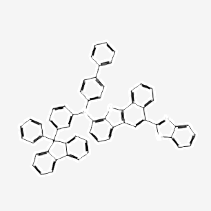 c1ccc(-c2ccc(N(c3cccc(C4(c5ccccc5)c5ccccc5-c5ccccc54)c3)c3cccc4c3oc3c5ccccc5c(-c5nc6ccccc6o5)cc43)cc2)cc1